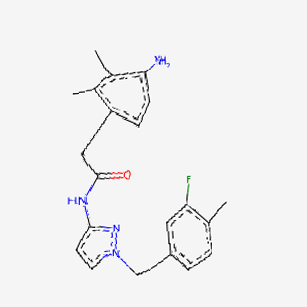 Cc1ccc(Cn2ccc(NC(=O)Cc3ccc(N)c(C)c3C)n2)cc1F